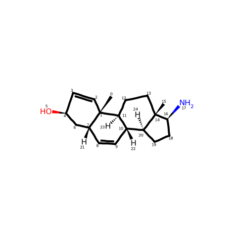 C[C@]12C=C[C@H](O)C[C@H]1C=C[C@@H]1[C@@H]2CC[C@]2(C)[C@@H](N)CC[C@@H]12